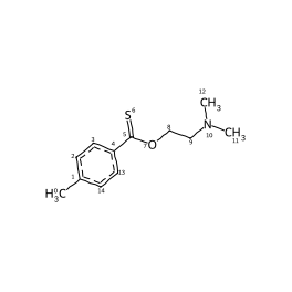 Cc1ccc(C(=S)OCCN(C)C)cc1